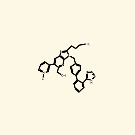 CCCCc1nc2cc(-c3ccc[n+]([O-])c3)c(CO)nc2n1Cc1ccc(-c2ccccc2-c2nnn[nH]2)cc1